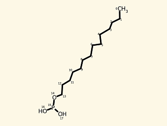 CCCCCCCCCCCCCCOP(O)O